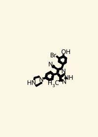 Cc1n[nH]c2nc(-c3ccc(O)c(Br)c3)c(C#N)c(-c3ccc(N4CCNCC4)cc3)c12